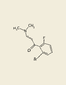 CN(C)C=CC(=O)c1c(F)cccc1Br